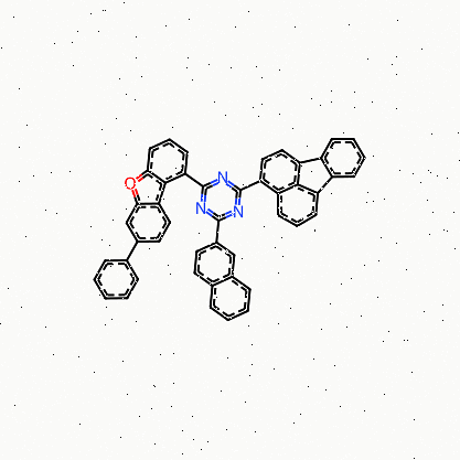 c1ccc(-c2ccc3c(c2)oc2cccc(-c4nc(-c5ccc6ccccc6c5)nc(-c5ccc6c7c(cccc57)-c5ccccc5-6)n4)c23)cc1